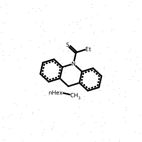 CCC(=S)N1c2ccccc2Cc2ccccc21.CCCCCCC